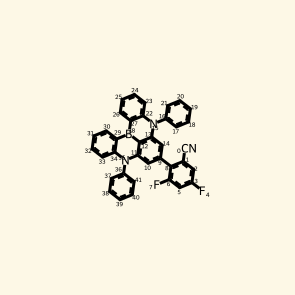 N#Cc1cc(F)cc(F)c1-c1cc2c3c(c1)N(c1ccccc1)c1ccccc1B3c1ccccc1N2c1ccccc1